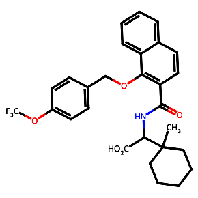 CC1(C(NC(=O)c2ccc3ccccc3c2OCc2ccc(OC(F)(F)F)cc2)C(=O)O)CCCCC1